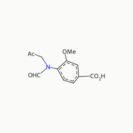 COc1cc(C(=O)O)ccc1N(C=O)CC(C)=O